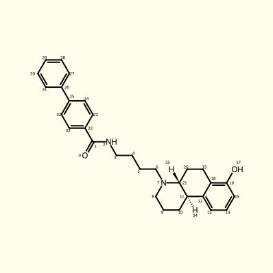 O=C(NCCCCN1CCC[C@@H]2c3cccc(O)c3CC[C@H]21)c1ccc(-c2ccccc2)cc1